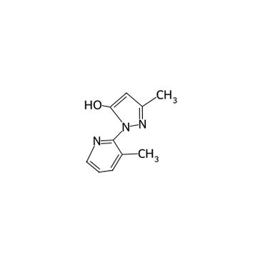 Cc1cc(O)n(-c2ncccc2C)n1